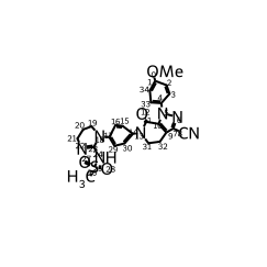 COc1ccc(-n2nc(C#N)c3c2C(=O)N(c2ccc(N4CCCN=C4NS(C)(=O)=O)cc2)CC3)cc1